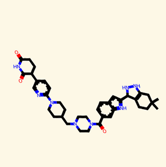 CC1(C)CCC2=C(C1)NNC2c1cc2ccc(C(=O)N3CCN(CC4CCN(c5ccc(C6CCC(=O)NC6=O)cn5)CC4)CC3)cc2[nH]1